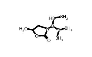 BBB(B(B)B)N1CC(C)OC1=O